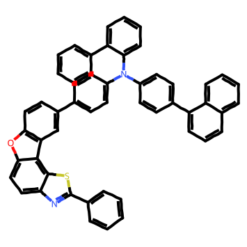 c1ccc(-c2nc3ccc4oc5ccc(-c6ccc(N(c7ccc(-c8cccc9ccccc89)cc7)c7ccccc7-c7ccccc7)cc6)cc5c4c3s2)cc1